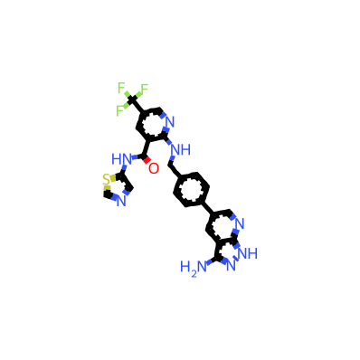 Nc1n[nH]c2ncc(-c3ccc(CNc4ncc(C(F)(F)F)cc4C(=O)Nc4cncs4)cc3)cc12